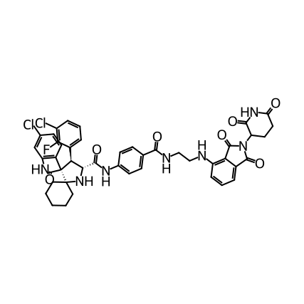 O=C1CCC(N2C(=O)c3cccc(NCCNC(=O)c4ccc(NC(=O)[C@@H]5NC6(CCCCC6)[C@@]6(C(=O)Nc7cc(Cl)ccc76)[C@H]5c5cccc(Cl)c5F)cc4)c3C2=O)C(=O)N1